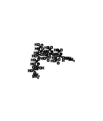 O=P(O)(O)OP(=O)(O)OP(=O)(O)O.O=P(O)(O)OP(=O)(O)OP(=O)(O)O.O=P(O)(O)OP(=O)(O)OP(=O)(O)O.O=P(O)(O)OP(=O)(O)OP(=O)(O)O.[SiH4].[SiH4].[SiH4].[SiH4].[SiH4]